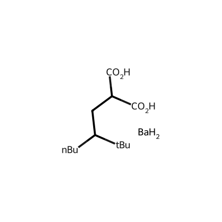 CCCCC(CC(C(=O)O)C(=O)O)C(C)(C)C.[BaH2]